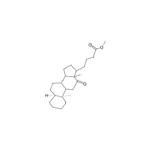 COC(=O)CCCC1CCC2C3CC[C@@H]4CCCC[C@]4(C)C3CC(=O)C12C